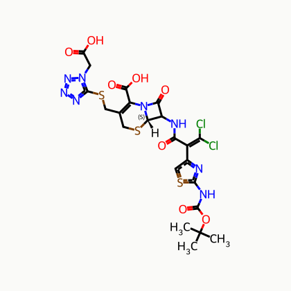 CC(C)(C)OC(=O)Nc1nc(C(C(=O)NC2C(=O)N3C(C(=O)O)=C(CSc4nnnn4CC(=O)O)CS[C@@H]23)=C(Cl)Cl)cs1